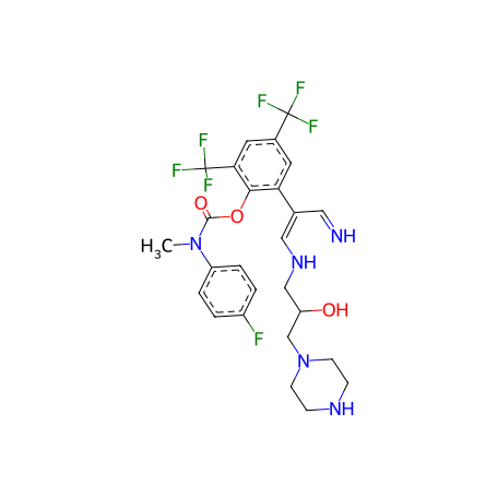 CN(C(=O)Oc1c(/C(C=N)=C/NCC(O)CN2CCNCC2)cc(C(F)(F)F)cc1C(F)(F)F)c1ccc(F)cc1